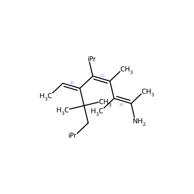 C/C=C(/C(=C(C)\C(C)=C(/C)N)C(C)C)C(C)(C)CC(C)C